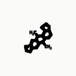 Cc1c2cc3ccsc3cc2c(C)c2c1ccc1sccc12